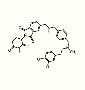 CN(CCc1ccc(Cl)c(Cl)c1)Cc1ccc(CNCc2ccc3c(c2)C(=O)N(C2CCC(=O)NC2=O)C3=O)cc1